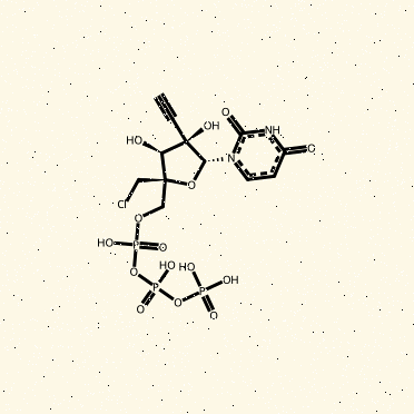 C#C[C@@]1(O)[C@H](O)[C@@](CCl)(COP(=O)(O)OP(=O)(O)OP(=O)(O)O)O[C@H]1n1ccc(=O)[nH]c1=O